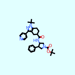 CC(C)(C)OC(=O)N1CC(NC(=O)C2CCc3c(c(-c4ccncc4)nn3C(C)(C)C)C2)C(c2ccccc2)C1